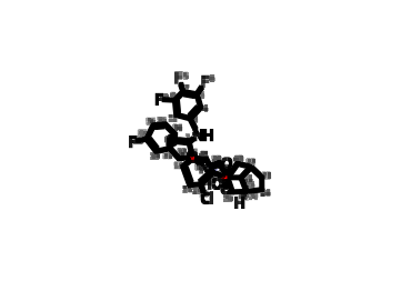 O=C(Nc1cc(F)c(F)c(F)c1)c1ccc(Cl)c(S(=O)(=O)C2C3CC[C@H]2C[C@](O)(/C=N/OCc2cccc(F)c2)C3)c1